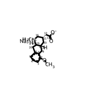 COc1cccc2c1C[C@H]1C[C@@H](CC(=O)[O-])CN(C)[C@@H]1C2.[Na+]